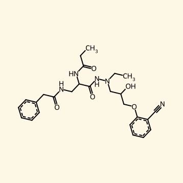 CCC(=O)NC(CNC(=O)Cc1ccccc1)C(=O)NN(CC)CC(O)COc1ccccc1C#N